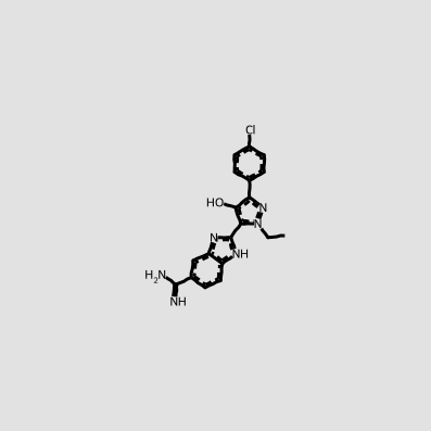 CCn1nc(-c2ccc(Cl)cc2)c(O)c1-c1nc2cc(C(=N)N)ccc2[nH]1